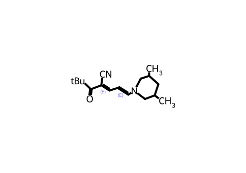 CC1CC(C)CN(/C=C/C=C(\C#N)C(=O)C(C)(C)C)C1